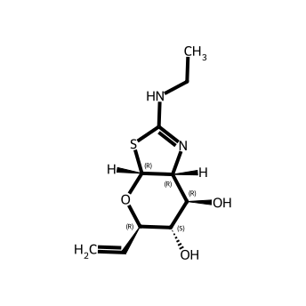 C=C[C@H]1O[C@@H]2SC(NCC)=N[C@@H]2[C@@H](O)[C@@H]1O